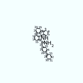 N[C@H](CNC(c1ccccc1)(c1ccccc1)c1ccccc1)Cc1ccc(-c2ccccc2)cc1